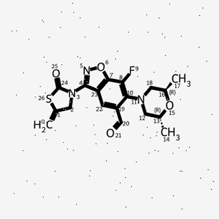 C=C1CN(c2noc3c(F)c(N4C[C@@H](C)O[C@H](C)C4)c(C=O)cc23)C(=O)S1